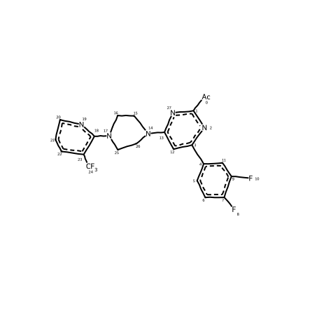 CC(=O)c1nc(-c2ccc(F)c(F)c2)cc(N2CCN(c3ncccc3C(F)(F)F)CC2)n1